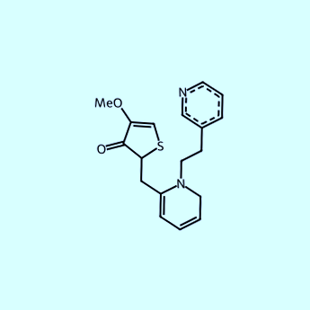 COC1=CSC(CC2=CC=CCN2CCc2cccnc2)C1=O